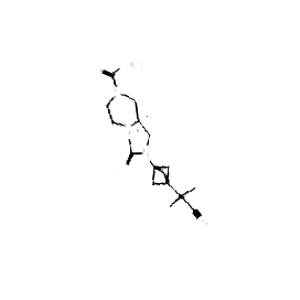 CC(C)(C#N)C12CC(N3C[C@@H]4CN(C(=O)O)CCN4C3=O)(C1)C2